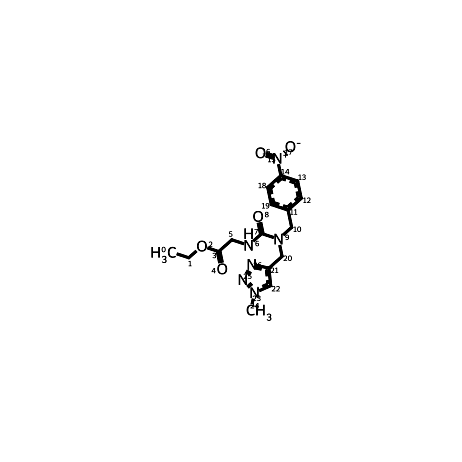 CCOC(=O)CNC(=O)N(Cc1ccc([N+](=O)[O-])cc1)Cc1cn(C)nn1